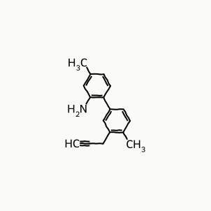 C#CCc1cc(-c2ccc(C)cc2N)ccc1C